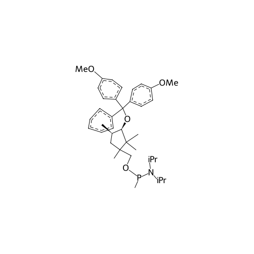 COc1ccc(C(O[C@@H]2[C@H](C)CC(C)(COP(C)N(C(C)C)C(C)C)C2(C)C)(c2ccccc2)c2ccc(OC)cc2)cc1